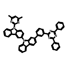 Cc1cc(C)nc(-n2c3ccccc3c3cc(-n4c5ccccc5c5ccc(-c6cccc(-c7nc(-c8ccccc8)nc(-c8ccccc8)n7)c6)cc54)ccc32)n1